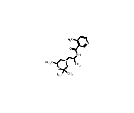 Cc1ccncc1C(=O)NC(C)CN1CC(C(=O)O)OC(C)(C)C1